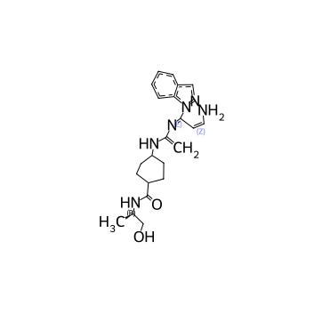 C=C(/N=C(\C=C/N)n1ncc2ccccc21)NC1CCC(C(=O)N[C@H](C)CO)CC1